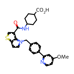 COc1ccnc(-c2ccc(Cn3ccc4scc(C(=O)NC5CCC(C(=O)O)CC5)c43)cc2)c1